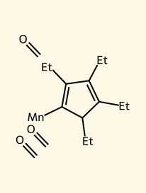 C=O.C=O.C=O.CCC1=[C]([Mn])C(CC)C(CC)=C1CC